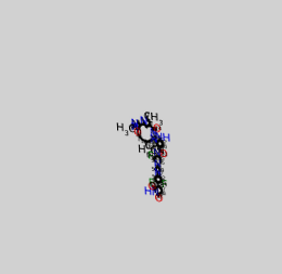 Cc1cc2cc(n1)-c1cnn(C)c1OCCC[C@@H](C)CN1/C(=N/C2=O)Nc2ccc(C(=O)N(C)[C@@H]3CCN(C4CN(c5cc(F)c([C@H]6CCC(=O)NC6=O)c(F)c5)C4)C[C@@H]3F)cc21